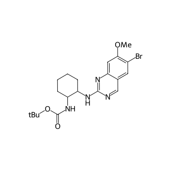 COc1cc2nc(NC3CCCCC3NC(=O)OC(C)(C)C)ncc2cc1Br